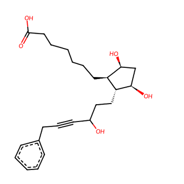 O=C(O)CCCCCC[C@@H]1[C@@H](CCC(O)C#CCc2ccccc2)[C@H](O)C[C@@H]1O